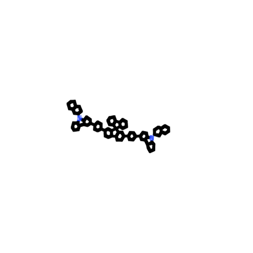 c1ccc2c(c1)-c1ccccc1C21c2cc(-c3ccc(-c4ccc5c(c4)c4ccccc4n5-c4ccc5ccccc5c4)cc3)ccc2-c2ccc(-c3ccc(-c4ccc5c(c4)c4ccccc4n5-c4ccc5ccccc5c4)cc3)cc21